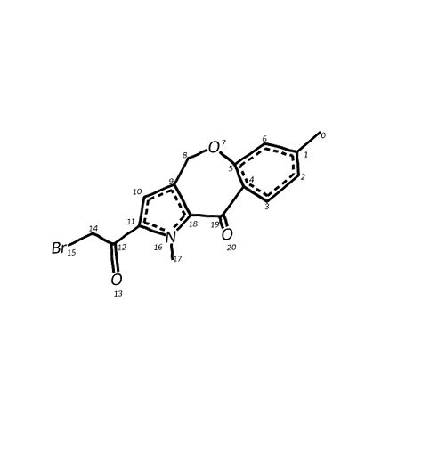 Cc1ccc2c(c1)OCc1cc(C(=O)CBr)n(C)c1C2=O